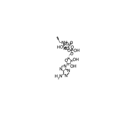 C#CCNP(=O)(O)OP(=O)(O)OP(=O)(O)OC[C@H]1O[C@@H](n2cnc3c(N)ncnc32)C(O)[C@H]1O